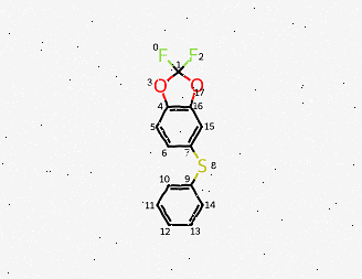 FC1(F)Oc2ccc(Sc3ccccc3)cc2O1